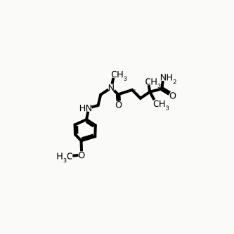 COc1ccc(NCCN(C)C(=O)[CH]CC(C)(C)C(N)=O)cc1